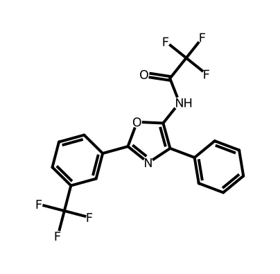 O=C(Nc1oc(-c2cccc(C(F)(F)F)c2)nc1-c1ccccc1)C(F)(F)F